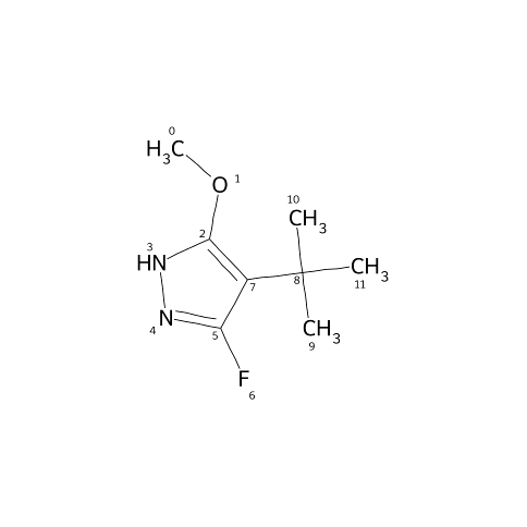 COc1[nH]nc(F)c1C(C)(C)C